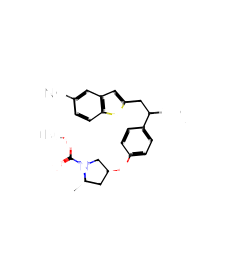 CCOC(=O)C(Cc1cc2cc(C#N)ccc2s1)c1ccc(O[C@H]2C[C@@H](C)N(C(=O)OC(C)(C)C)C2)cc1